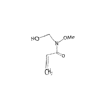 C=CC(=O)N(CO)OC